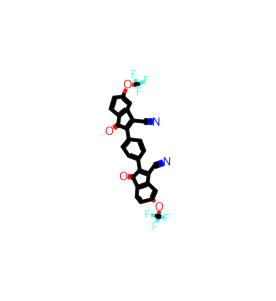 N#CC1=C(c2ccc(C3=C(C#N)c4cc(OC(F)(F)F)ccc4C3=O)cc2)C(=O)c2ccc(OC(F)(F)F)cc21